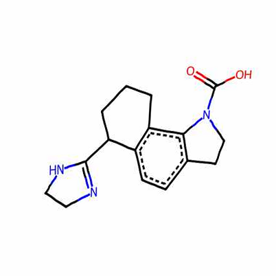 O=C(O)N1CCc2ccc3c(c21)CCCC3C1=NCCN1